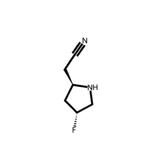 N#CC[C@@H]1C[C@@H](F)CN1